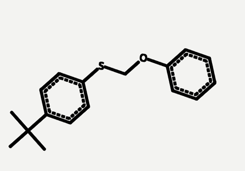 CC(C)(C)c1ccc(SCOc2ccccc2)cc1